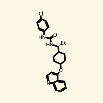 CC[C@@H](NC(=O)Nc1ccc(Cl)cc1)C1CCC(Oc2ccnc3ccccc23)CC1